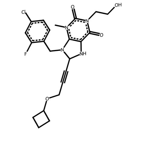 Cn1c2c(c(=O)n(CCO)c1=O)NC(C#CCOC1CCC1)N2Cc1ccc(Cl)cc1F